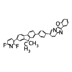 CC1(C)c2cc(-c3ccc(-c4ccc5nc6c7ccccc7oc6n5c4)cc3)ccc2-c2ccc(-c3ccc(F)nc3F)cc21